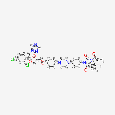 CC(=O)N1C(=O)N(c2ccc(N3CCN(c4ccc(OCC5COC(Cn6cncn6)(c6ccc(Cl)cc6Cl)O5)cc4)CC3)cc2)C(=O)C1(C)C